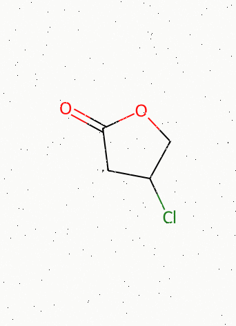 O=C1[CH]C(Cl)CO1